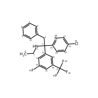 CCNC(Cc1ccccc1)(c1cc(F)cc(C(F)(F)F)c1)c1ccc(Cl)cn1